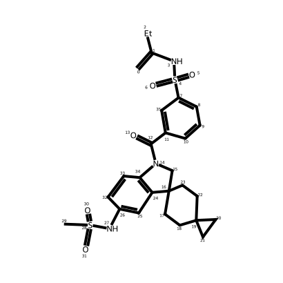 C=C(CC)NS(=O)(=O)c1cccc(C(=O)N2CC3(CCC4(CC4)CC3)c3cc(NS(C)(=O)=O)ccc32)c1